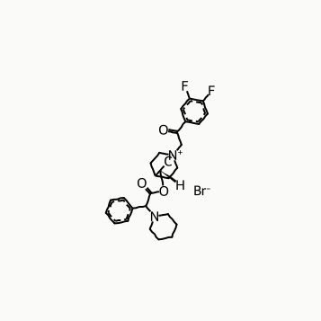 O=C(C[N+]12CCC(CC1)[C@@H](OC(=O)C(c1ccccc1)N1CCCCC1)C2)c1ccc(F)c(F)c1.[Br-]